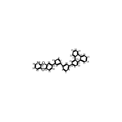 c1cc(-c2cccc(-c3ccc4c5ccccc5c5ccccc5c4c3)c2)cc(-c2ccc3c(c2)Oc2ncccc2O3)c1